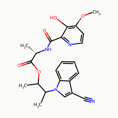 COc1ccnc(C(=O)N[C@@H](C)C(=O)OC(C)C(C)n2cc(C#N)c3ccccc32)c1O